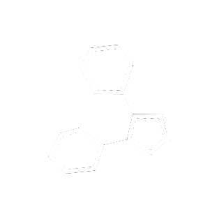 c1ccc(-c2cscc2-c2ccccc2)cc1